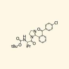 CC(C)C(NC(=O)OC(C)(C)C)C(=O)N1CCN=C1c1ccccc1C(=O)c1ccc(Cl)cc1